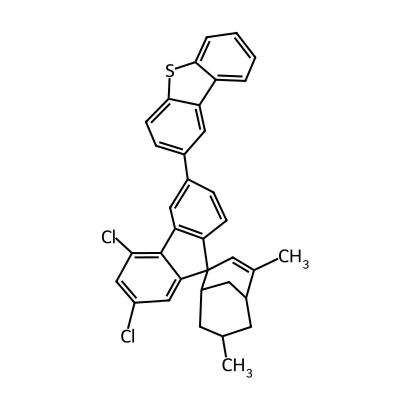 CC1=CC2(c3ccc(-c4ccc5sc6ccccc6c5c4)cc3-c3c(Cl)cc(Cl)cc32)C2CC(C)CC1C2